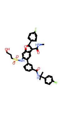 CNC(=O)c1c(-c2ccc(F)cc2)oc2cc(NS(=O)(=O)CCCO)c(-c3cccc(C(=O)NC(C)(C)c4ccc(F)cc4)c3)cc12